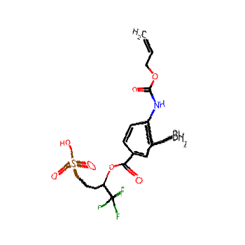 Bc1cc(C(=O)OC(CS(=O)(=O)O)C(F)(F)F)ccc1NC(=O)OCC=C